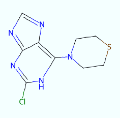 Clc1nc2ncnc-2c(N2CCSCC2)[nH]1